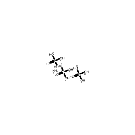 N.O=P(O)(O)O.O=P(O)(O)O.O=P(O)(O)O